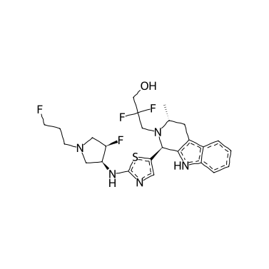 C[C@@H]1Cc2c([nH]c3ccccc23)[C@@H](c2cnc(N[C@H]3CN(CCCF)C[C@H]3F)s2)N1CC(F)(F)CO